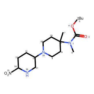 CN(C(=O)OC(C)(C)C)C1(C)CCN(C2CCC([N+](=O)[O-])NC2)CC1